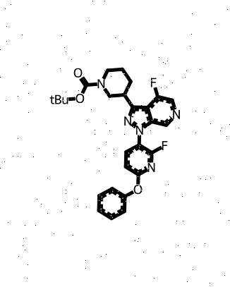 CC(C)(C)OC(=O)N1CCCC(c2nn(-c3ccc(Oc4ccccc4)nc3F)c3cncc(F)c23)C1